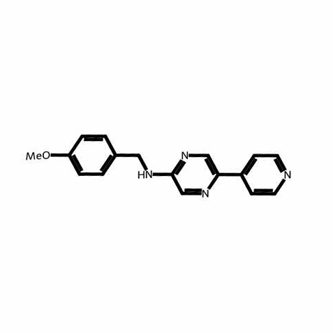 COc1ccc(CNc2cnc(-c3ccncc3)cn2)cc1